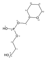 O=C(O)CCOP(O)OCC1CCCCO1